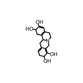 OC1=CC2=C(CC1O)C1CC3=CCC(O)C(O)=C3CN1CC2